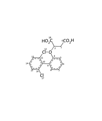 O=C(O)CC(Oc1ccccc1-c1c(Cl)cccc1Cl)C(=O)O